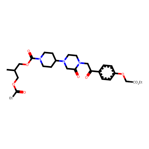 CCOC(=O)COc1ccc(C(=O)CN2CCN(C3CCN(C(=O)OCC(C)COC(=O)CC)CC3)CC2=O)cc1